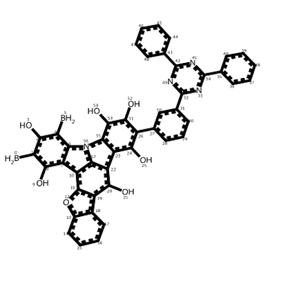 Bc1c(O)c(B)c2c(c1O)c1c3oc4ccccc4c3c(O)c3c4c(O)c(-c5cccc(-c6nc(-c7ccccc7)nc(-c7ccccc7)n6)c5)c(O)c(O)c4n2c31